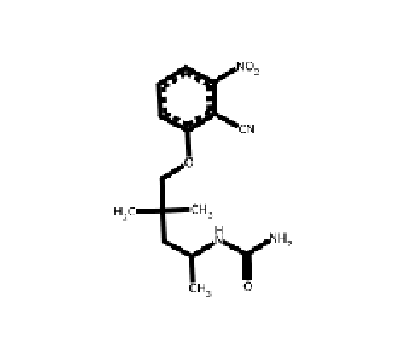 CC(CC(C)(C)COc1cccc([N+](=O)[O-])c1C#N)NC(N)=O